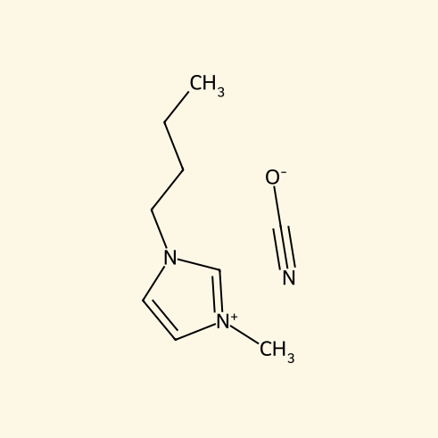 CCCCn1cc[n+](C)c1.N#C[O-]